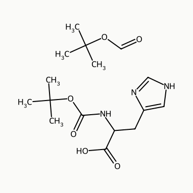 CC(C)(C)OC(=O)NC(Cc1c[nH]cn1)C(=O)O.CC(C)(C)OC=O